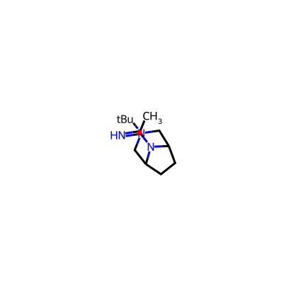 CC(=N)N1C2CCC1CN(C(C)(C)C)C2